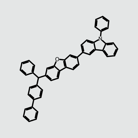 c1ccc(-c2ccc(C(c3ccccc3)c3ccc4c(c3)oc3cc(-c5ccc6c(c5)c5ccccc5n6-c5ccccc5)ccc34)cc2)cc1